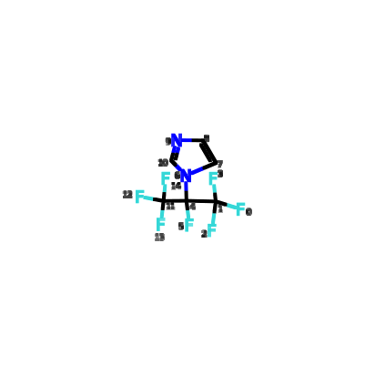 FC(F)(F)C(F)(n1ccnc1)C(F)(F)F